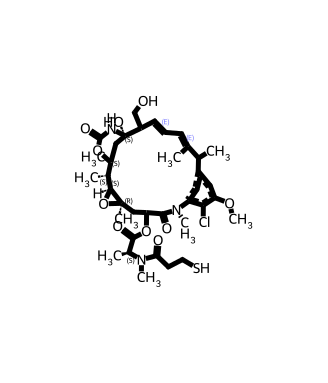 COc1cc2cc(c1Cl)N(C)C(=O)C(OC(=O)[C@H](C)N(C)C(=O)CCS)C[C@@]1(C)O[C@H]1[C@H](C)[C@]1(C)C[C@@](O)(NC(=O)O1)C(CO)/C=C/C=C(\C)C2C